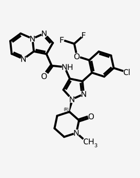 CN1CCC[C@@H](n2cc(NC(=O)c3cnn4cccnc34)c(-c3cc(Cl)ccc3OC(F)F)n2)C1=O